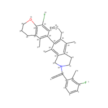 C=C(c1cccc(F)c1C)N1CCc2c(C)c(CC(=O)OCC)c(-c3cc(F)c4c(c3C)CCCO4)c(C)c2C1